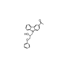 CC(=O)c1ccc2c(c1)c1ccccc1n2CC(O)COc1ccccc1